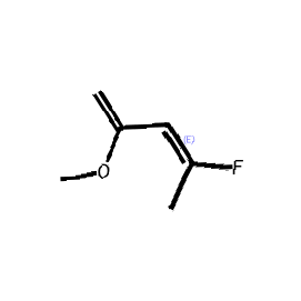 C=C(/C=C(\C)F)OC